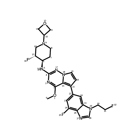 COc1nc(N[C@@H]2CCN(C3COC3)C[C@H]2F)nn2ccc(-c3cc(F)c4ncn(CCF)c4c3)c12